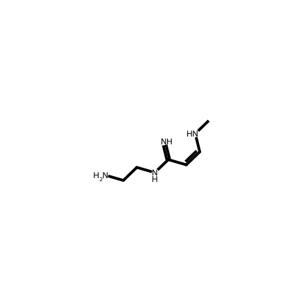 CN/C=C\C(=N)NCCN